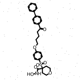 O=C(CCCCOc1ccc(S(=O)(=O)C2(C(=O)NO)CCOCC2)cc1)c1ccc(-c2ccccc2)cc1